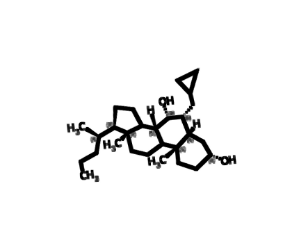 CCC[C@@H](C)[C@H]1CCC2[C@H]3C(CC[C@@]21C)[C@@]1(C)CC[C@@H](O)C[C@H]1[C@@H](CC1CC1)[C@H]3O